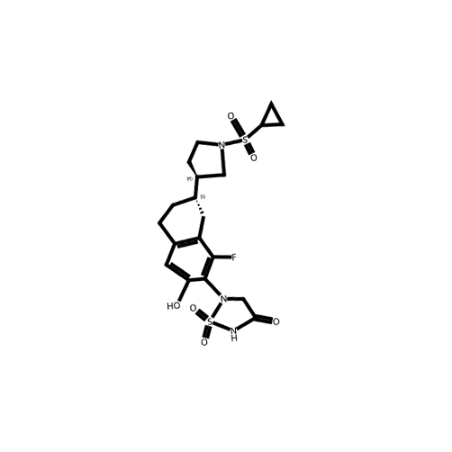 O=C1CN(c2c(O)cc3c(c2F)C[C@@H]([C@H]2CCN(S(=O)(=O)C4CC4)C2)CC3)S(=O)(=O)N1